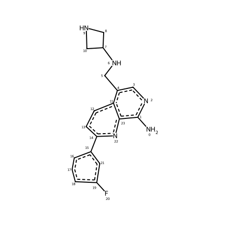 Nc1ncc(CNC2CNC2)c2ccc(-c3cccc(F)c3)nc12